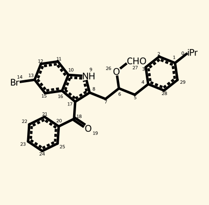 CC(C)c1ccc(CC(Cc2[nH]c3ccc(Br)cc3c2C(=O)c2ccccc2)OC=O)cc1